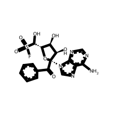 Nc1ncnc2c1ncn2[C@]1(C(=O)c2ccccc2)O[C@H](C(O)S(=O)(=O)F)[C@@H](O)[C@H]1O